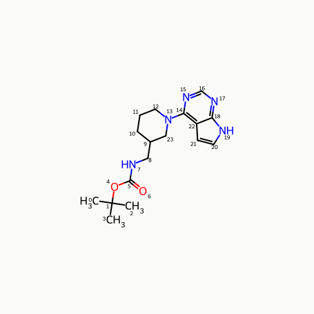 CC(C)(C)OC(=O)NCC1CCCN(c2ncnc3[nH]ccc23)C1